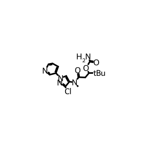 CN(C(=O)CC(OC(N)=O)C(C)(C)C)c1cn(-c2cccnc2)nc1Cl